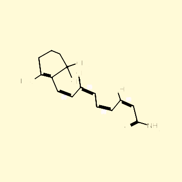 CC1=C(\C=C/C(C)=C\C=C/C(C)=C\C(N)=O)C(C)(C)CCC1